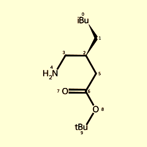 CC[C@H](C)C[C@H](CN)CC(=O)OC(C)(C)C